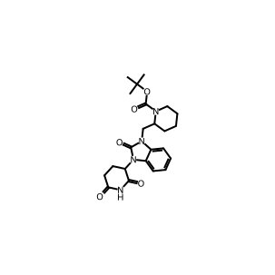 CC(C)(C)OC(=O)N1CCCCC1Cn1c(=O)n(C2CCC(=O)NC2=O)c2ccccc21